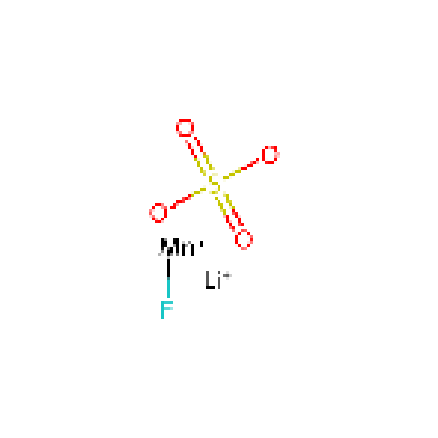 O=S(=O)([O-])[O-].[F][Mn+].[Li+]